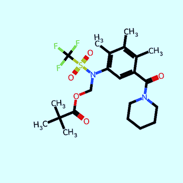 Cc1c(C(=O)N2CCCCC2)cc(N(COC(=O)C(C)(C)C)S(=O)(=O)C(F)(F)F)c(C)c1C